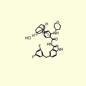 Cl.NC12CC3C[C@H](C1)C(c1ccc(C(=O)Nc4n[nH]c5ccc(Cc6cc(F)cc(F)c6)cc45)c(NC4CCOCC4)c1)[C@@H](C3)C2